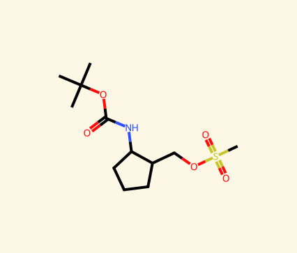 CC(C)(C)OC(=O)NC1CCCC1COS(C)(=O)=O